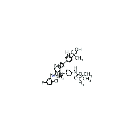 CC(C)(C)OC(=O)N[C@H]1CC[C@H](Nc2c(/C(N)=N/c3cc(F)ccc3Cl)cnn3cc(-c4ccc(C(C)(C)CO)nc4)cc23)CC1